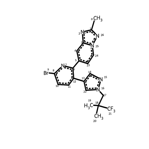 Cc1nc2cc(-c3nc(Br)ccc3-c3cnn(CC(C)(C)C(F)(F)F)c3)ccn2n1